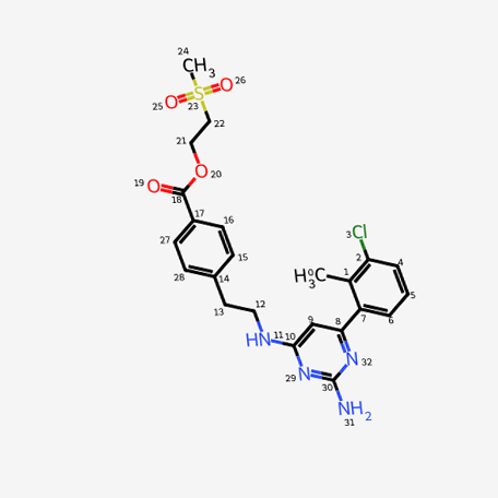 Cc1c(Cl)cccc1-c1cc(NCCc2ccc(C(=O)OCCS(C)(=O)=O)cc2)nc(N)n1